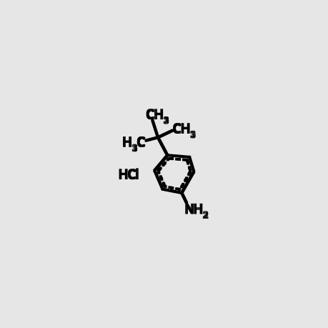 CC(C)(C)c1ccc(N)cc1.Cl